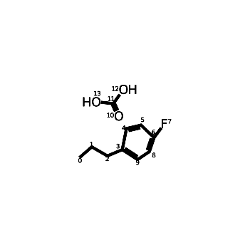 CCCc1ccc(F)cc1.O=C(O)O